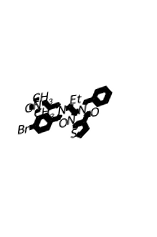 CCC(c1nc2sccc2c(=O)n1Cc1ccccc1)N(CCC[N+](C)(C)[O-])C(=O)c1ccc(Br)cc1